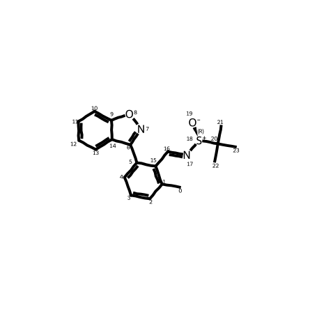 Cc1cccc(-c2noc3ccccc23)c1C=N[S@@+]([O-])C(C)(C)C